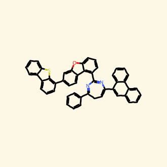 C1=C(c2cc3ccccc3c3ccccc23)N=C(c2cccc3oc4cc(-c5cccc6c5sc5ccccc56)ccc4c23)N=C(c2ccccc2)C1